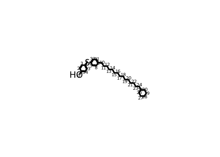 Oc1ccc(Sc2ccc(CCCCCCCCCCCCCCCC3CCCCC3)cc2)cc1